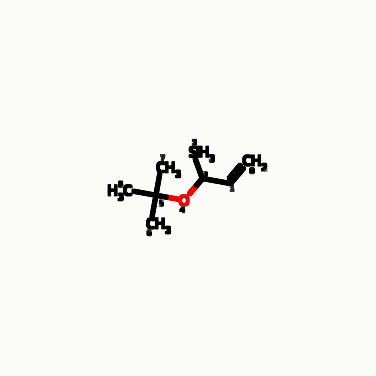 C=CC([SiH3])OC(C)(C)C